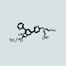 CCOC(=O)Nc1nc2cc(-c3ccc(CN(CCOC)CCOC)nc3)cc(-c3ccccn3)c2[nH]1